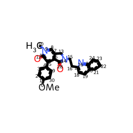 COc1ccc(-c2c3c(cn(C)c2=O)CN(CCc2ccc4ccccc4n2)C3=O)cc1